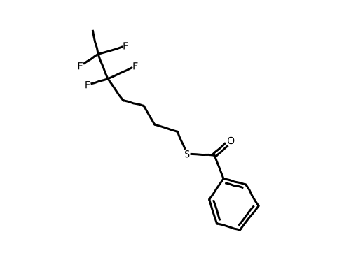 CC(F)(F)C(F)(F)CCCCSC(=O)c1ccccc1